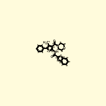 Cc1c(-c2ccccc2)sc(NC(=O)c2nc3ccccc3s2)c1C(=O)N1CCOCC1